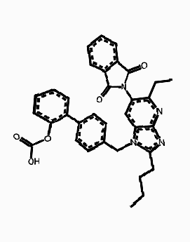 CCCCc1nc2nc(CC)c(N3C(=O)c4ccccc4C3=O)cc2n1Cc1ccc(-c2ccccc2OC(=O)O)cc1